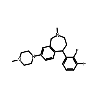 CN1CCN(c2ccc3c(c2)CN(C)CCC3c2cccc(F)c2F)CC1